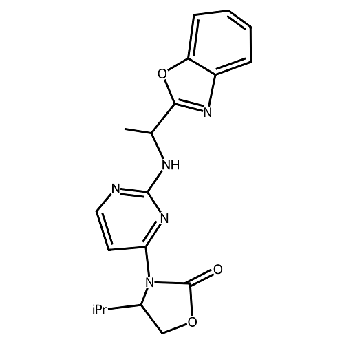 CC(Nc1nccc(N2C(=O)OCC2C(C)C)n1)c1nc2ccccc2o1